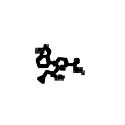 CCCN(CC1CC1)C1=NC(C(N)=O)=CCN1c1cccc2[nH]ncc12